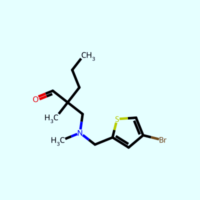 CCCC(C)(C=O)CN(C)Cc1cc(Br)cs1